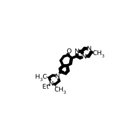 CCN1[C@H](C)CN(c2ccc3c(c2)CCC(=O)C(c2cn4cc(C)ncc4n2)=C3)C[C@@H]1C